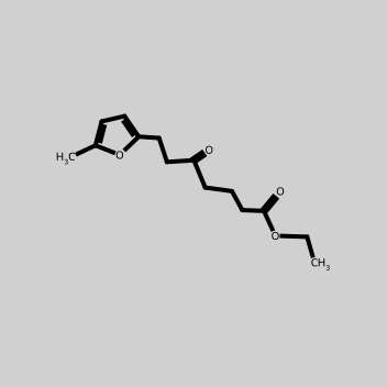 CCOC(=O)CCCC(=O)CCc1ccc(C)o1